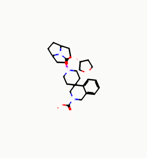 COC(=O)N1Cc2ccccc2C2(CCN(C3CCC4CCC(C3)N4C(=O)O[C@H]3CCOC3)CC2)C1